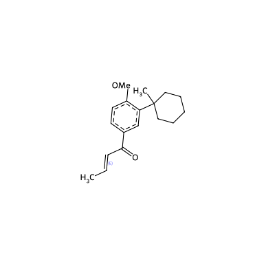 C/C=C/C(=O)c1ccc(OC)c(C2(C)CCCCC2)c1